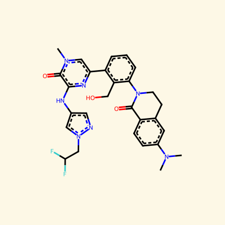 CN(C)c1ccc2c(c1)CCN(c1cccc(-c3cn(C)c(=O)c(Nc4cnn(CC(F)F)c4)n3)c1CO)C2=O